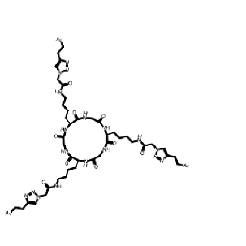 CC(=O)CCc1cn(CC(=O)NCCCC[C@@H]2NC(=O)CNC(=O)[C@H](CCCCNC(=O)Cn3cc(CCC(C)=O)nn3)NC(=O)CNC(=O)[C@H](CCCCNC(=O)Cn3cc(CCC(C)=O)nn3)NC(=O)CNC2=O)nn1